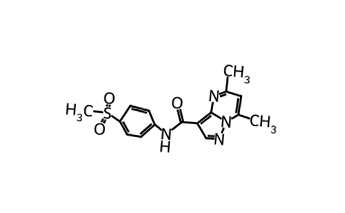 Cc1cc(C)n2ncc(C(=O)Nc3ccc(S(C)(=O)=O)cc3)c2n1